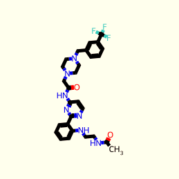 CC(=O)NCCNc1ccccc1-c1nccc(NC(=O)CN2CCN(Cc3cccc(C(F)(F)F)c3)CC2)n1